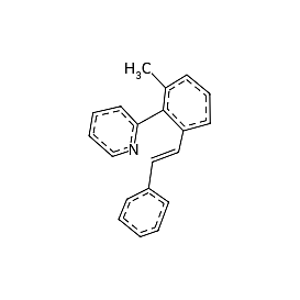 Cc1cccc(C=Cc2ccccc2)c1-c1ccccn1